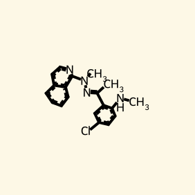 CNc1ccc(Cl)cc1/C(C)=N/N(C)c1nccc2ccccc12